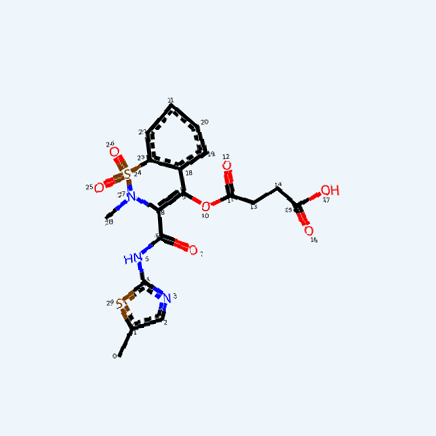 Cc1cnc(NC(=O)C2=C(OC(=O)CCC(=O)O)c3ccccc3S(=O)(=O)N2C)s1